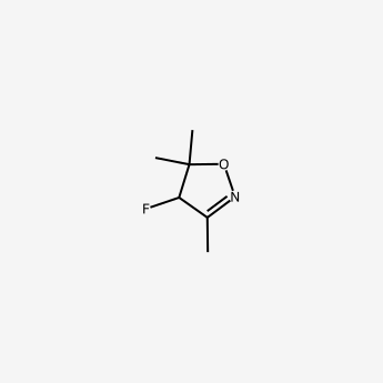 CC1=NOC(C)(C)C1F